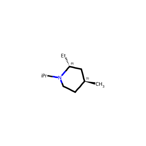 CC[C@@H]1C[C@@H](C)CCN1C(C)C